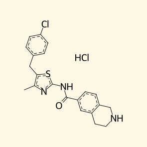 Cc1nc(NC(=O)c2ccc3c(c2)CCNC3)sc1Cc1ccc(Cl)cc1.Cl